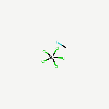 [C]F.[Cl][Sb]([Cl])([Cl])([Cl])[Cl]